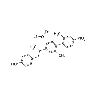 CCOCC.Cc1cc(C(C)Cc2ccc(O)cc2)ccc1-c1ccc([N+](=O)[O-])cc1C